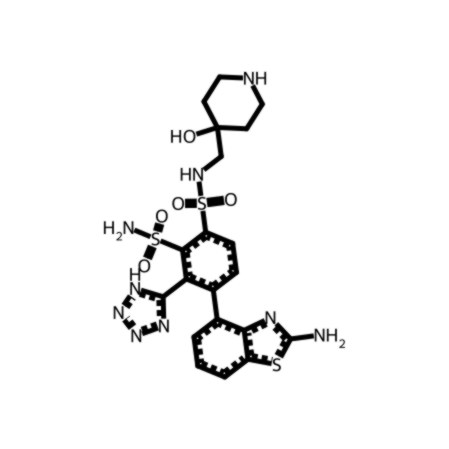 Nc1nc2c(-c3ccc(S(=O)(=O)NCC4(O)CCNCC4)c(S(N)(=O)=O)c3-c3nnn[nH]3)cccc2s1